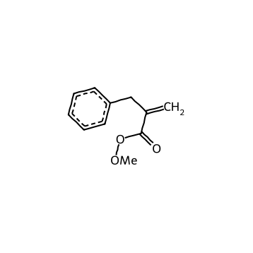 C=C(Cc1ccccc1)C(=O)OOC